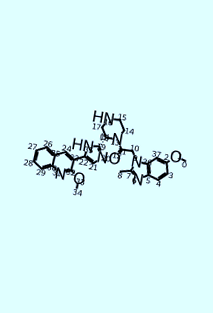 COc1ccc2nc(C)n(CC(=O)N3CCNC[C@H]3c3ncc(-c4cc5ccccc5nc4OC)[nH]3)c2c1